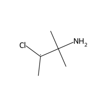 C[C](Cl)C(C)(C)N